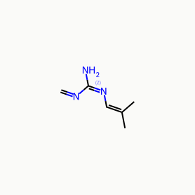 C=N/C(N)=N\C=C(C)C